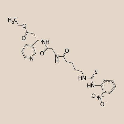 CCOC(=O)C[C@H](NC(=O)CNC(=O)CCCCNC(=S)Nc1ccccc1[N+](=O)[O-])c1cccnc1